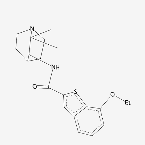 CCOc1cccc2cc(C(=O)NC3C4CCN(CC4)C3(C)C)sc12